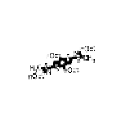 CCCCCCCCc1nc(-c2cc3c(CCCCCCCC)c4sc(-c5nc(CCCCCCCC)c(C)s5)cc4c(CCCCCCCC)c3s2)sc1C